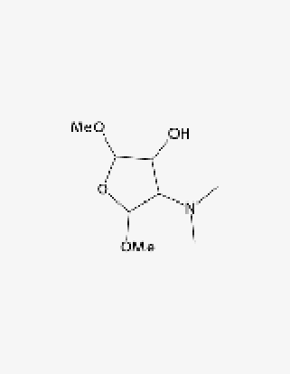 COC1OC(OC)C(N(C)C)C1O